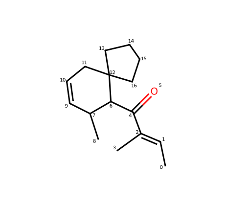 C/C=C(\C)C(=O)C1C(C)C=CCC12CCCC2